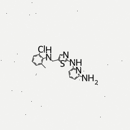 Cc1cccc(Cl)c1NCc1cnc(Nc2cccc(N)n2)s1